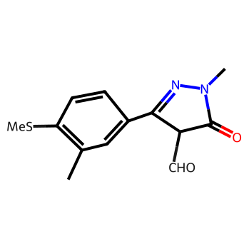 CSc1ccc(C2=NN(C)C(=O)C2C=O)cc1C